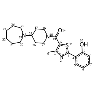 Cc1nc(-c2ccccc2O)sc1C(=O)N1CCC(N2CCCCCC2)CC1